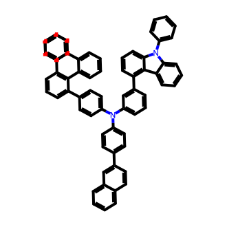 c1ccc(-c2ccccc2-c2c(-c3ccccc3)cccc2-c2ccc(N(c3ccc(-c4ccc5ccccc5c4)cc3)c3cccc(-c4cccc5c4c4ccccc4n5-c4ccccc4)c3)cc2)cc1